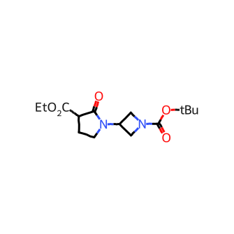 CCOC(=O)C1CCN(C2CN(C(=O)OC(C)(C)C)C2)C1=O